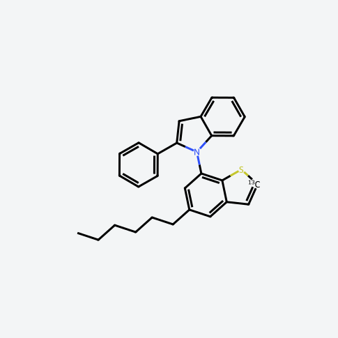 CCCCCCc1cc(-n2c(-c3ccccc3)cc3ccccc32)c2s[13cH]cc2c1